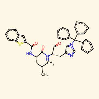 CC(C)C[C@H](NC(=O)c1cc2ccccc2s1)C(=O)N[C@H](C=O)Cc1cn(C(c2ccccc2)(c2ccccc2)c2ccccc2)cn1